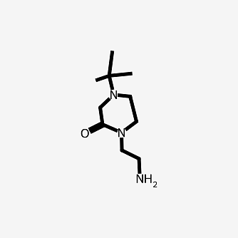 CC(C)(C)N1CCN(CCN)C(=O)C1